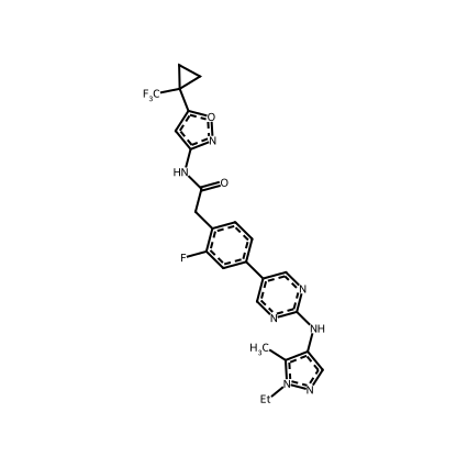 [CH2]Cn1ncc(Nc2ncc(-c3ccc(CC(=O)Nc4cc(C5(C(F)(F)F)CC5)on4)c(F)c3)cn2)c1C